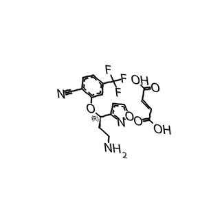 N#Cc1ccc(C(F)(F)F)cc1O[C@H](CCN)c1ccon1.O=C(O)C=CC(=O)O